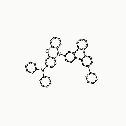 c1ccc(-c2ccc3c4ccccc4c4cc(N5c6ccccc6Oc6cc(N(c7ccccc7)c7ccccc7)ccc65)ccc4c3c2)cc1